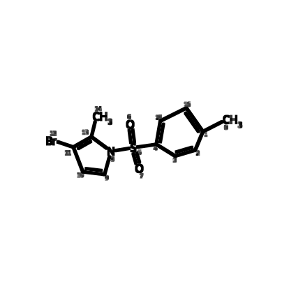 Cc1ccc(S(=O)(=O)n2ccc(Br)c2C)cc1